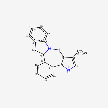 O=C(O)C1=CNC2C1CN1c3ccccc3CC1C1C=CC=CC12